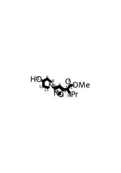 COC(=O)C(c1cc(N2CCC(O)CC2)no1)C(C)C